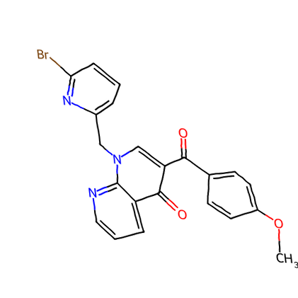 COc1ccc(C(=O)c2cn(Cc3cccc(Br)n3)c3ncccc3c2=O)cc1